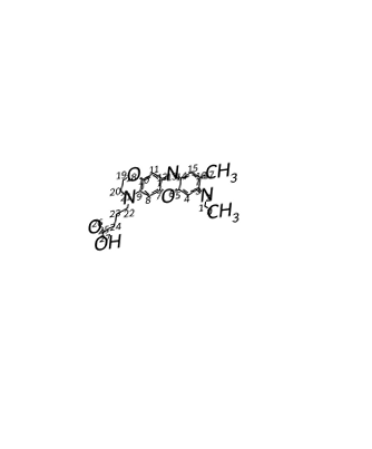 CCN=c1cc2oc3cc4c(cc3nc-2cc1C)OCCN4CCCC(=O)O